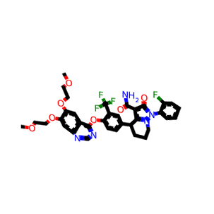 COCCOc1cc2ncnc(Oc3ccc(C4CCCn5c4c(C(N)=O)c(=O)n5-c4ccccc4F)cc3C(F)(F)F)c2cc1OCCOC